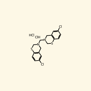 Cl.Cl.Clc1ccc2c(c1)CN(CN1CSc3ccc(Cl)cc3C1)CS2